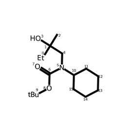 CCC(C)(O)CN(C(=O)OC(C)(C)C)C1CCCCC1